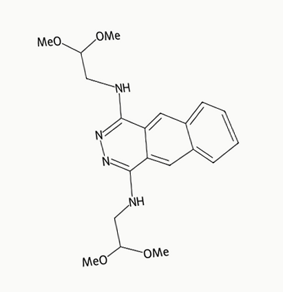 COC(CNc1nnc(NCC(OC)OC)c2cc3ccccc3cc12)OC